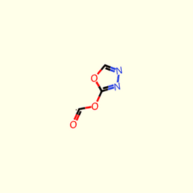 O=[C]Oc1nnco1